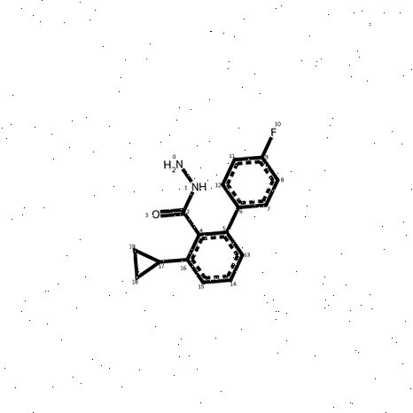 NNC(=O)c1c(-c2ccc(F)cc2)cccc1C1CC1